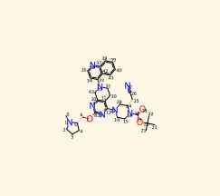 CN1CCC[C@H]1COc1nc2c(c(N3CCN(C(=O)OC(C)(C)C)[C@@H](CC#N)C3)n1)CCN(c1ccnc3ccccc13)C2